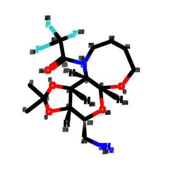 CC1(C)O[C@@H]2[C@H](O1)[C@@H]1[C@H](OCCCCN1C(=O)C(F)(F)F)O[C@@H]2CN